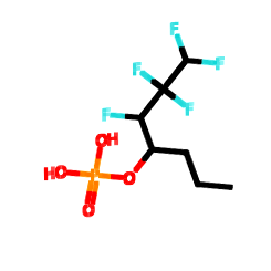 CCCC(OP(=O)(O)O)C(F)C(F)(F)C(F)F